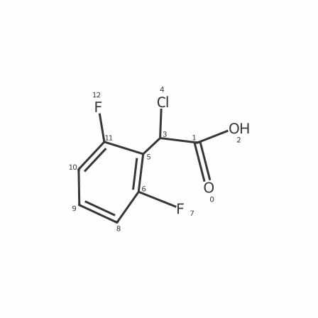 O=C(O)C(Cl)c1c(F)cccc1F